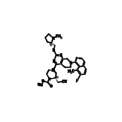 Cc1c(F)ccc2cccc(N3CCc4c(nc(OC[C@@H]5CCCN5C)nc4N4CCN(C(=O)OC(C)(C)C)[C@@H](CC#N)C4)C3)c12